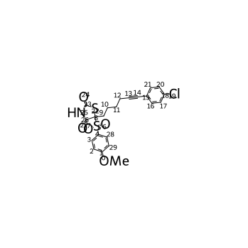 COc1ccc(S(=O)(=O)C2(CCCCC#Cc3ccc(Cl)cc3)SC(=O)NC2=O)cc1